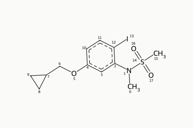 CN(c1cc(OCC2CC2)ccc1I)S(C)(=O)=O